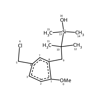 COc1ccc(CCl)cc1CC(C)(C)[Si](C)(C)O